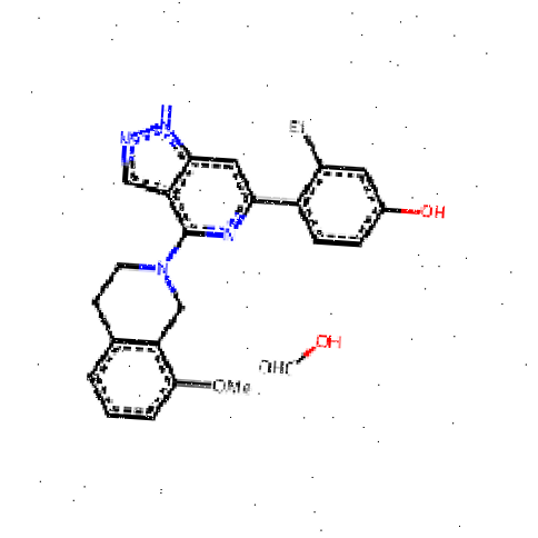 CCc1cc(O)ccc1-c1cc2[nH]ncc2c(N2CCc3cccc(OC)c3C2)n1.O=CO